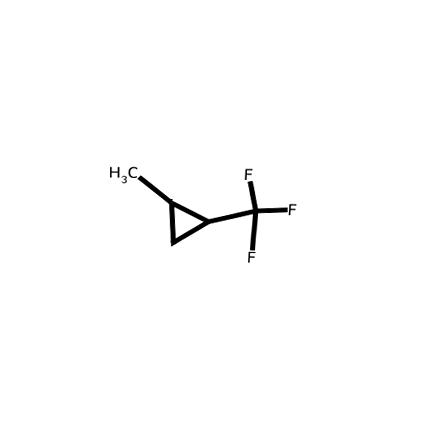 C[C]1CC1C(F)(F)F